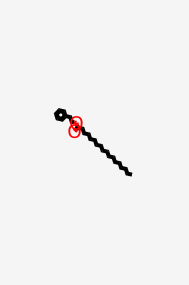 CCCCCCCCCCCCCCCCCC(=O)OCCc1ccccc1